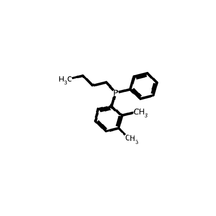 CCCCP(c1ccccc1)c1cccc(C)c1C